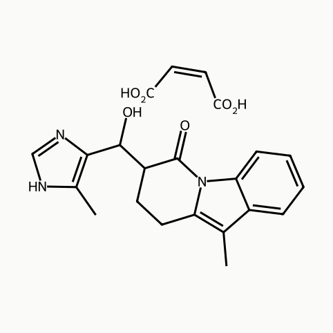 Cc1[nH]cnc1C(O)C1CCc2c(C)c3ccccc3n2C1=O.O=C(O)/C=C\C(=O)O